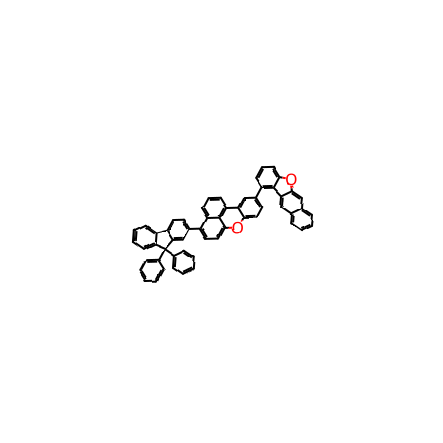 c1ccc(C2(c3ccccc3)c3ccccc3-c3ccc(-c4ccc5c6c(cccc46)-c4cc(-c6cccc7oc8cc9ccccc9cc8c67)ccc4O5)cc32)cc1